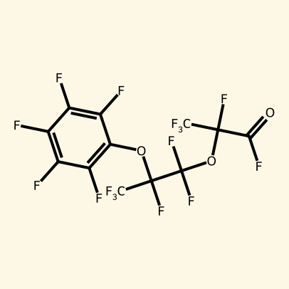 O=C(F)C(F)(OC(F)(F)C(F)(Oc1c(F)c(F)c(F)c(F)c1F)C(F)(F)F)C(F)(F)F